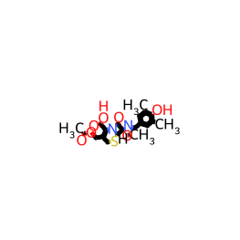 CO[C@@]1(N=Cc2cc(C)c(O)c(C)c2)C(=O)N2C(C(=O)O)=C(COC(C)=O)CS[C@H]21